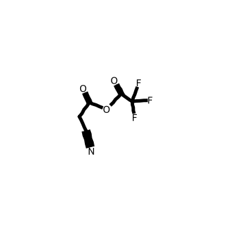 N#CCC(=O)OC(=O)C(F)(F)F